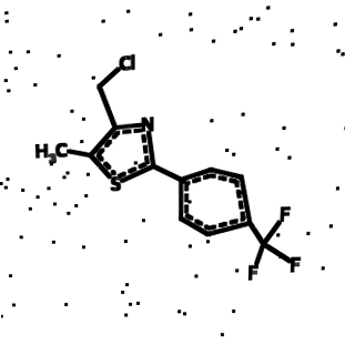 Cc1sc(-c2ccc(C(F)(F)F)cc2)nc1CCl